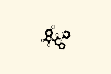 O=C1C(=O)N(C(CC2CCCC2)C(=O)Nc2ccccn2)c2cc(Cl)ccc21